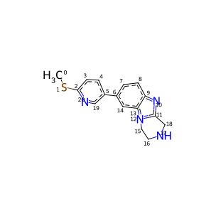 CSc1ccc(-c2ccc3nc4n(c3c2)CCNC4)cn1